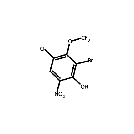 O=[N+]([O-])c1cc(Cl)c(OC(F)(F)F)c(Br)c1O